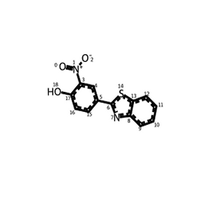 O=[N+]([O-])c1cc(-c2nc3ccccc3s2)ccc1O